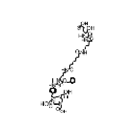 O=CC(CCCCNC(=O)CCCCCCC(=O)NCCCCC(NC(=S)Nc1ccc(CC2CN(CC(=O)O)CCN(CC(=O)O)CCN2CC(=O)O)cc1)C(=O)OCc1ccccc1)NC(=O)NC(CCC(=O)O)C(=O)O